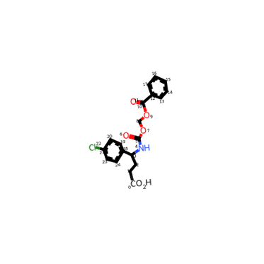 O=C(O)CCC(NC(=O)OCOC(=O)c1ccccc1)c1ccc(Cl)cc1